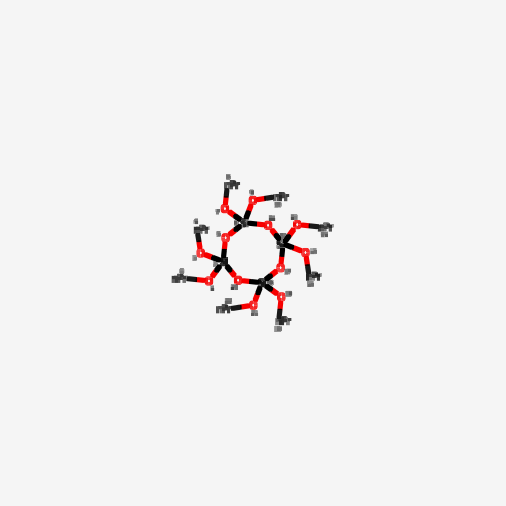 CCCO[Si]1(OCCC)O[Si](OCCC)(OCCC)O[Si](OCCC)(OCCC)O[Si](OCCC)(OCCC)O1